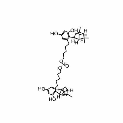 CC1=C[C@@H](c2c(O)cc(O)cc2CCCCCO[N+](=O)OCCCCCc2cc(O)cc(O)c2[C@@H]2C=C(C)[C@@H]3C[C@@H]2C3(C)C)[C@@H]2C[C@@H]1C2(C)C